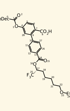 CCCCCCCCCCC(=O)Oc1ccc(C(=O)O)c(-c2ccc(C(=O)O[C@H](CCCCCOCC)C(F)(F)F)cc2)c1